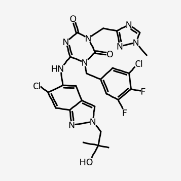 Cn1cnc(Cn2c(=O)nc(Nc3cc4cn(CC(C)(C)O)nc4cc3Cl)n(Cc3cc(F)c(F)c(Cl)c3)c2=O)n1